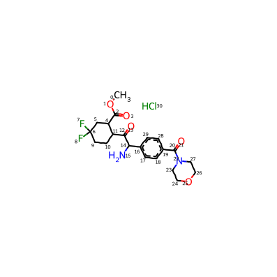 COC(=O)C1CC(F)(F)CCC1C(=O)C(N)c1ccc(C(=O)N2CCOCC2)cc1.Cl